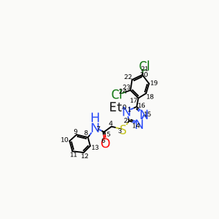 CCn1c(SCC(=O)Nc2ccccc2)nnc1-c1ccc(Cl)cc1Cl